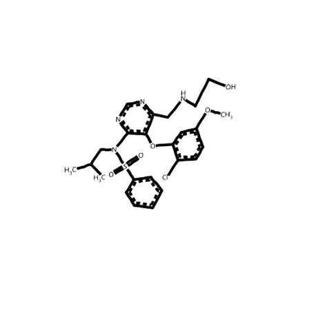 COc1ccc(Cl)c(Oc2c(CNCCO)ncnc2N(CC(C)C)S(=O)(=O)c2ccccc2)c1